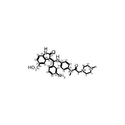 CN1CCN(CC(=O)N(C)c2ccc(N/C(=C3\C(=O)Nc4ccc(C(=O)O)cc43)c3cccc(N)c3)cc2)CC1